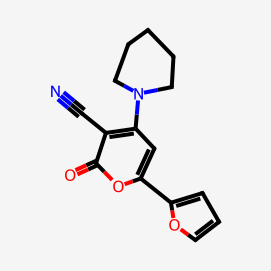 N#Cc1c(N2CCCCC2)cc(-c2ccco2)oc1=O